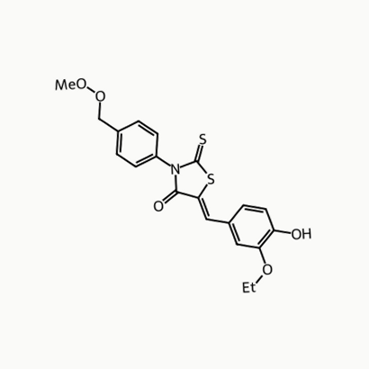 CCOc1cc(/C=C2\SC(=S)N(c3ccc(COOC)cc3)C2=O)ccc1O